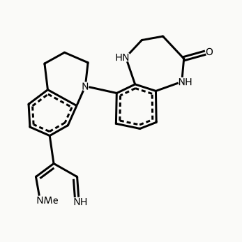 CN/C=C(\C=N)c1ccc2c(c1)N(c1cccc3c1NCCC(=O)N3)CCC2